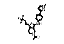 CC(=O)N1CCc2c(c(Nc3ccc(-c4ccn(C)n4)cc3)nn2CCC(F)(F)F)C1